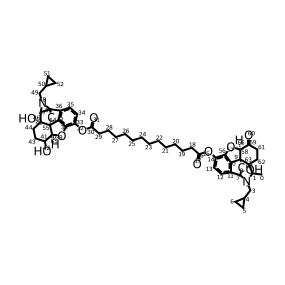 CC1N(CC2CC2)C2C[C@]34c5c2ccc(OC(=O)CCCCCCCCCCCCC(=O)Oc2ccc6c7c2O[C@H]2C(O)CC[C@@]8(O)C9N(CC%10CC%10)C69C[C@]728)c5O[C@H]3C(=O)CC[C@@]14O